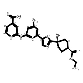 CCOC(=O)[C@H]1CC[C@](O)(c2ncc(-c3cc(C)cc(Nc4cc(C(=O)O)ccn4)n3)s2)CC1